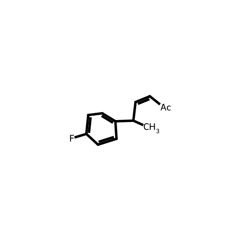 CC(=O)/C=C\C(C)c1ccc(F)cc1